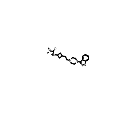 CN(C)C(=O)NC1CC(CCN2CCN(c3nsc4ccccc34)CC2)C1